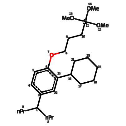 CCCC(CCC)c1ccc(OCCC[Si](OC)(OC)OC)c(C2CCCCC2)c1